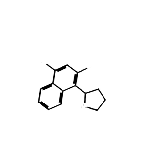 Brc1cc(Br)c2ccccc2c1C1CCCN1